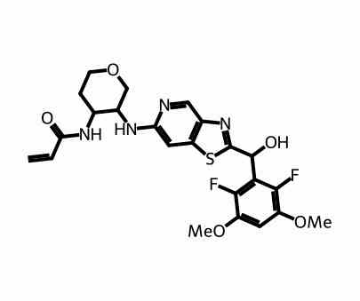 C=CC(=O)NC1CCOCC1Nc1cc2sc(C(O)c3c(F)c(OC)cc(OC)c3F)nc2cn1